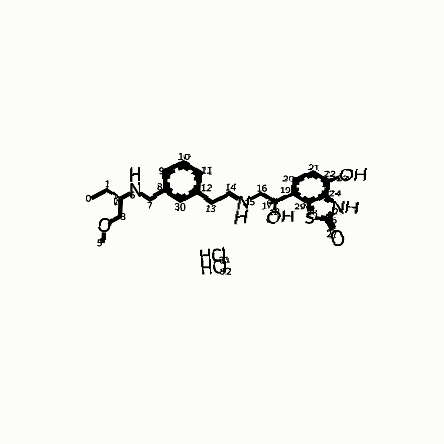 CC[C@H](COC)NCc1cccc(CCNC[C@H](O)c2ccc(O)c3[nH]c(=O)sc23)c1.Cl.Cl